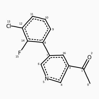 CC(=O)c1cncc(-c2cccc(Cl)c2F)c1